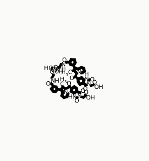 Cc1c(-c2cccc(C(=O)NCCO[PH](O)(O)OCCNC(=O)c3cccc(-c4c(C)c(C(=O)c5ccc6c(=O)n(CC(=O)O)c(=O)[nH]c6c5)n5ccccc45)c3)c2)c2ccccn2c1C(=O)c1ccc2c(=O)n(CC(=O)O)c(=O)[nH]c2c1